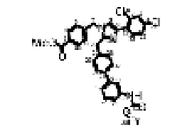 COC(=O)c1ccc(Cn2cc(-c3ccc(Cl)cc3Cl)nc2Cc2ccc(-c3cccc(NC(=O)OC(C)C)c3)cc2)cc1